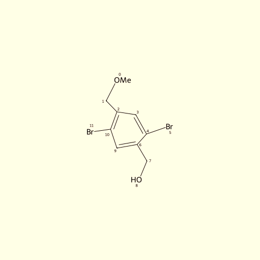 COCc1cc(Br)c(CO)cc1Br